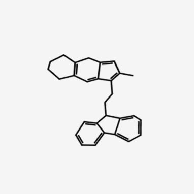 CC1=C(CCC2c3ccccc3-c3ccccc32)C2=CC3=C(CCCC3)CC2=C1